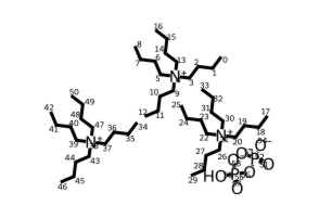 CCCC[N+](CCCC)(CCCC)CCCC.CCCC[N+](CCCC)(CCCC)CCCC.CCCC[N+](CCCC)(CCCC)CCCC.O=P([O-])([O-])OP(=O)([O-])O